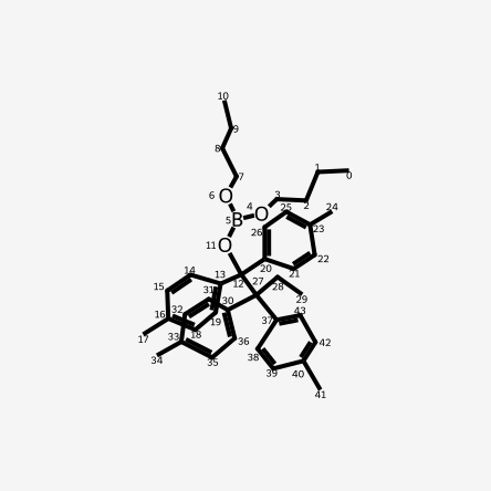 CCCCOB(OCCCC)OC(c1ccc(C)cc1)(c1ccc(C)cc1)C(CC)(c1ccc(C)cc1)c1ccc(C)cc1